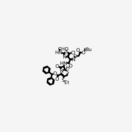 CCSC1=C(C(=O)OC(c2ccccc2)c2ccccc2)N2C(=O)C(NC(=O)/C(=N/OCC(=O)OC(C)(C)C)c3nc(NC=O)sc3Cl)[C@H]2SC1